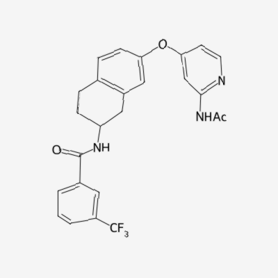 CC(=O)Nc1cc(Oc2ccc3c(c2)CC(NC(=O)c2cccc(C(F)(F)F)c2)CC3)ccn1